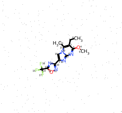 CCc1c(OC)nc2nc(-c3noc(C(F)(F)F)n3)cn2c1C